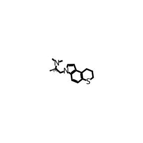 C[C@H](Cn1ccc2c3c(ccc21)SCCC3)N(C)C